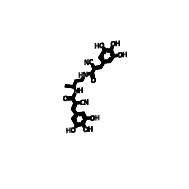 CC(CCNC(=O)/C(C#N)=C/c1cc(O)c(O)c(O)c1)NC(=O)/C(C#N)=C/c1cc(O)c(O)c(O)c1